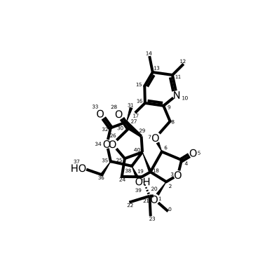 CO[C@@H]1OC(=O)[C@H](OCc2nc(C)c(C)cc2C)C12[C@H](C(C)(C)C)CC1OC(=O)C3[C@H](C)C(=O)O[C@H](CO)[C@H](O)[C@]132